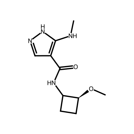 CNc1[nH]ncc1C(=O)NC1CC[C@@H]1OC